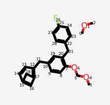 COC.COCOc1ccc(Cc2ccc3cc2C3)cc1Cc1ccc(F)cc1